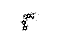 CCOc1cc2ncnc(Nc3ccnc(-c4ccccc4F)c3)c2cc1NC